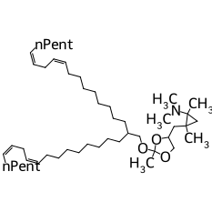 CCCCC/C=C\C/C=C\CCCCCCCCC(CCCCCCCC/C=C\C/C=C\CCCCC)COC1(C)OCC(CC2(C)CC2(C)N(C)C)O1